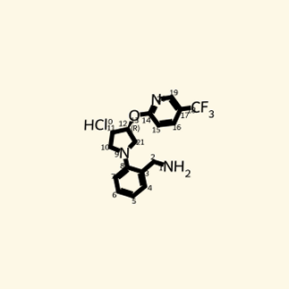 Cl.NCc1ccccc1N1CC[C@@H](Oc2ccc(C(F)(F)F)cn2)C1